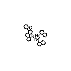 c1ccc2c(-c3cc(-c4cccc5ccccc45)nc(-n4c5cccc6ccc7c8c(cc4c7c65)oc4ccccc48)n3)cccc2c1